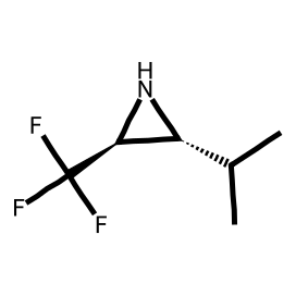 CC(C)[C@H]1N[C@@H]1C(F)(F)F